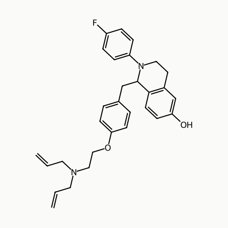 C=CCN(CC=C)CCOc1ccc(CC2c3ccc(O)cc3CCN2c2ccc(F)cc2)cc1